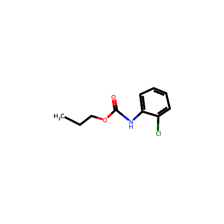 CCCOC(=O)Nc1ccccc1Cl